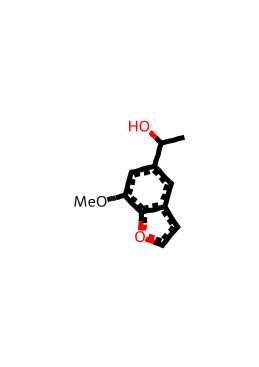 COc1cc(C(C)O)cc2ccoc12